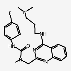 CN(C)CCCNc1nc(CN(C)C(=O)Nc2ccc(F)cc2)nc2ccccc12